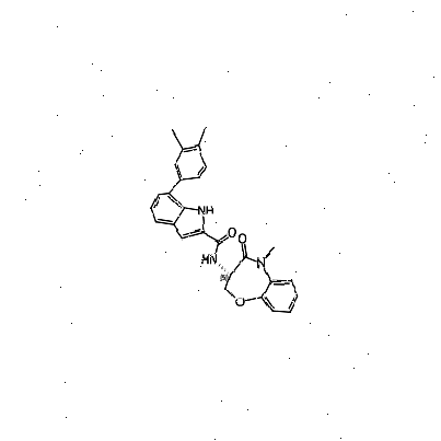 Cc1ccc(-c2cccc3cc(C(=O)N[C@H]4COc5ccccc5N(C)C4=O)[nH]c23)cc1C